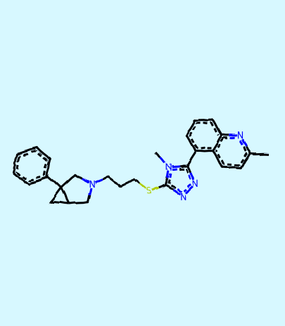 Cc1ccc2c(-c3nnc(SCCCN4CC5CC5(c5ccccc5)C4)n3C)cccc2n1